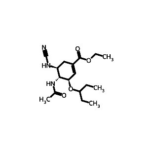 CCOC(=O)C1=C[C@@H](OC(CC)CC)[C@H](NC(C)=O)[C@@H](NC#N)C1